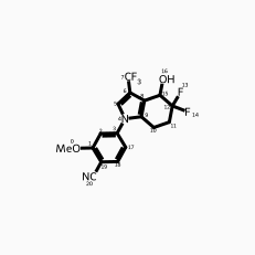 COc1cc(-n2cc(C(F)(F)F)c3c2CCC(F)(F)C3O)ccc1C#N